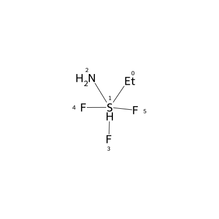 CC[SH](N)(F)(F)F